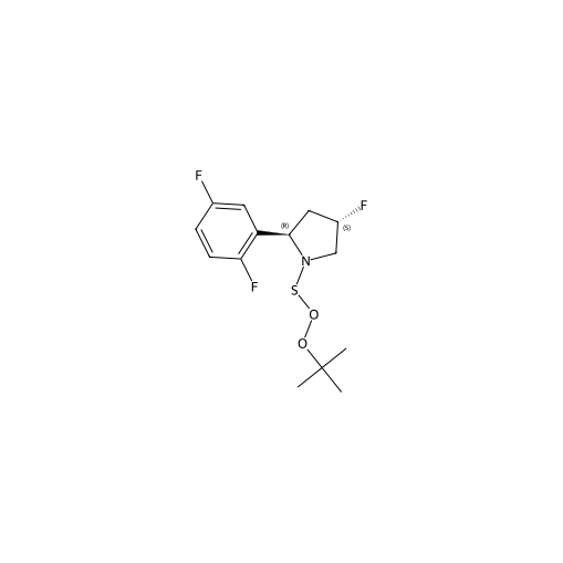 CC(C)(C)OOSN1C[C@@H](F)C[C@@H]1c1cc(F)ccc1F